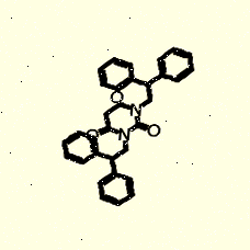 O=C1CC(=O)N(CC(c2ccccc2)c2ccccc2)C(=O)N1CC(c1ccccc1)c1ccccc1